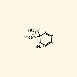 O=C([O-])C1(S(=O)(=O)O)C=CC=CC1.[Na+]